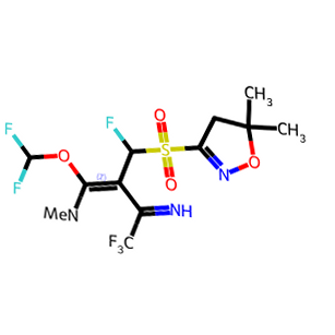 CN/C(OC(F)F)=C(\C(=N)C(F)(F)F)C(F)S(=O)(=O)C1=NOC(C)(C)C1